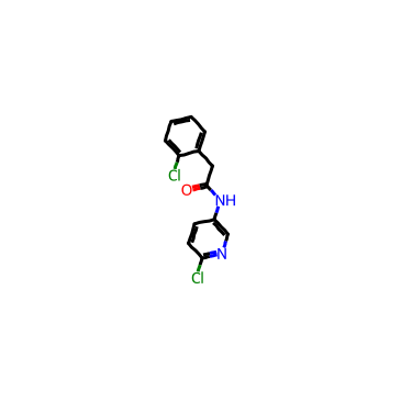 O=C(Cc1ccccc1Cl)Nc1ccc(Cl)nc1